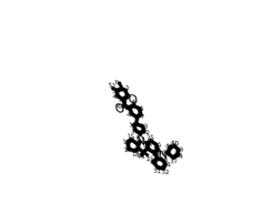 Cc1cc2oc3ccc(-c4ccc(N5c6ccccc6C(C)(C)c6c5ccc5c6c6ccccc6n5-c5ccccc5)cc4)cc3c(=O)c2cc1C